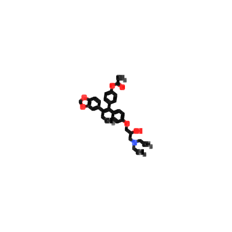 CCC(=C(c1ccc(OCC(O)CN(CC)CC)cc1)c1ccc(OC(C)=O)cc1)c1ccc2c(c1)OCO2